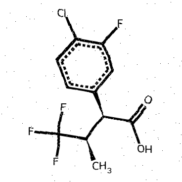 C[C@H]([C@H](C(=O)O)c1ccc(Cl)c(F)c1)C(F)(F)F